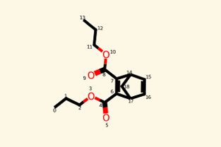 CCCOC(=O)C1=C(C(=O)OCCC)C2C=CC1C2